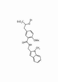 CCOC(=O)C(Cc1ccc(OC)c(C(=O)NCc2cc3ccccc3n2C)c1)OCC